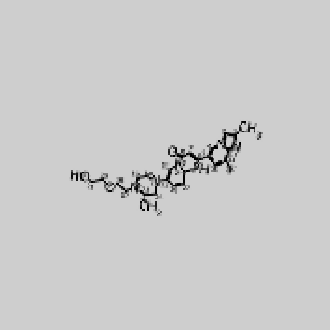 Cc1cn2cc(C3=CC(=O)N4C=C(N5CCN(CCOCCO)[C@@H](C)C5)C=CC4P3)cc(F)c2n1